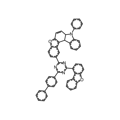 C1=CC2C(c3ccccc3N2c2ccccc2)c2c1oc1ccc(-c3nc(-c4ccc(-c5ccccc5)cc4)nc(-c4cccc5oc6ccccc6c45)n3)cc21